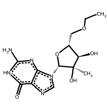 CCOC[C@H]1O[C@@H](n2cnc3c(=O)[nH]c(N)nc32)[C@](C)(O)[C@@H]1O